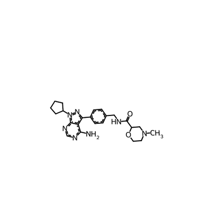 CN1CCOC(C(=O)NCc2ccc(-c3nn(C4CCCC4)c4ncnc(N)c34)cc2)C1